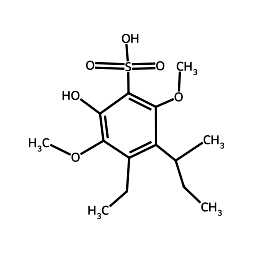 CCc1c(OC)c(O)c(S(=O)(=O)O)c(OC)c1C(C)CC